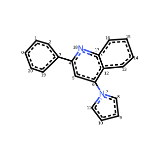 c1ccc(-c2cc(-n3cccc3)c3ccccc3n2)cc1